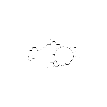 COc1cc2cc(c1Cl)N(C)C(=O)C[C@@H]1OC([C@H](C)N(C)C(=O)CCSSC(C)CC(C(=O)ON3C(=O)CCC3=O)S(=O)(=O)O)=C[C@]13O[C@H]3[C@H](C)[C@@H]1C[C@@](O)(NC(=O)O1)[C@H](OC)/C=C/C=C(\C)C2